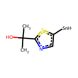 CC(C)(O)c1nc[c]([SnH])s1